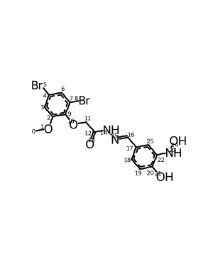 COc1cc(Br)cc(Br)c1OCC(=O)N/N=C/c1ccc(O)c(NO)c1